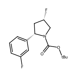 CC(C)(C)OC(=O)N1C[C@@H](F)C[C@H]1c1cccc(F)c1